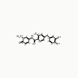 Cn1cc(NC(=O)c2ncc(Cc3ccc(F)c(F)c3)cc2F)ccc1=O